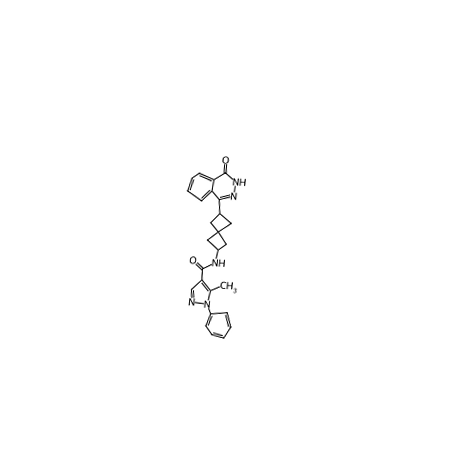 Cc1c(C(=O)NC2CC3(C2)CC(c2n[nH]c(=O)c4ccccc24)C3)cnn1-c1ccccc1